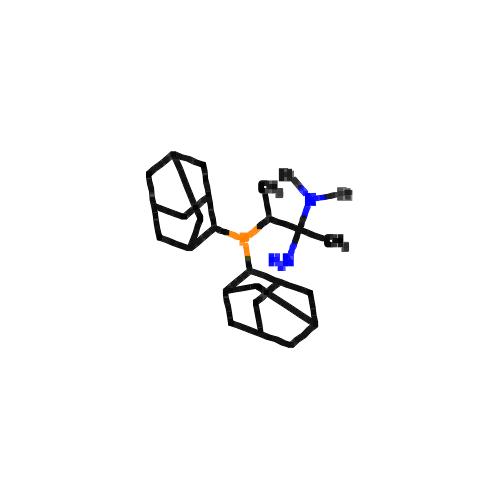 CCN(CC)C(C)(N)C(C)P(C1C2CC3CC(C2)CC1C3)C1C2CC3CC(C2)CC1C3